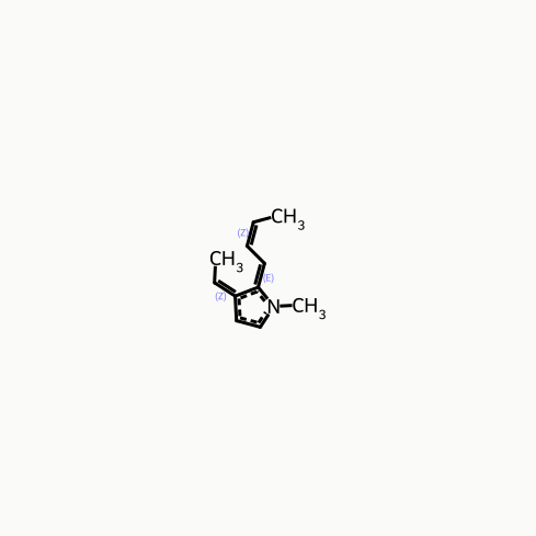 C\C=C/C=c1\c(=C/C)ccn1C